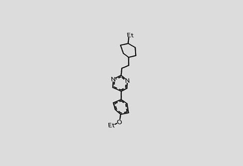 CCOc1ccc(-c2cnc(CCC3CCC(CC)CC3)nc2)cc1